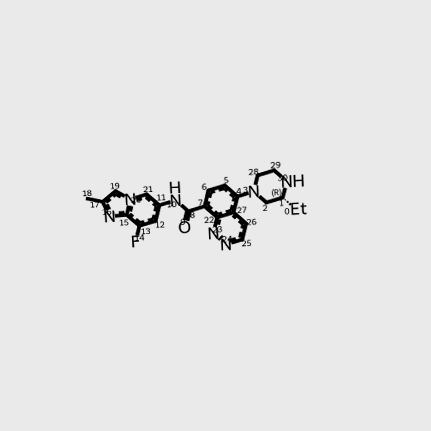 CC[C@@H]1CN(c2ccc(C(=O)Nc3cc(F)c4nc(C)cn4c3)c3nnccc23)CCN1